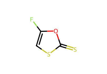 Fc1csc(=S)o1